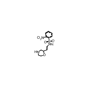 O=[N+]([O-])c1ccccc1S(=O)(=O)NCCC1CNCCO1